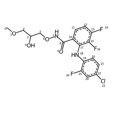 COCC(O)CONC(=O)c1ccc(F)c(F)c1Nc1ccc(Cl)cc1F